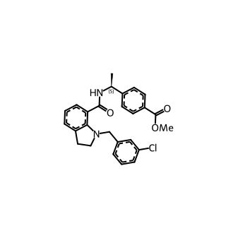 COC(=O)c1ccc([C@H](C)NC(=O)c2cccc3c2N(Cc2cccc(Cl)c2)CC3)cc1